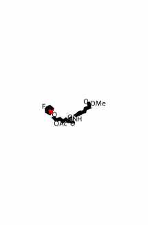 COC(=O)CCCC#CCNS(=O)(=O)CCCCC(COc1ccc(F)cc1)OC(C)=O